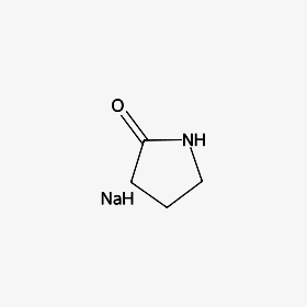 O=C1CCCN1.[NaH]